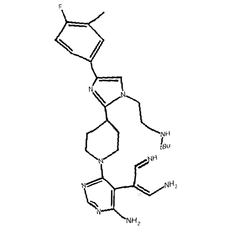 Cc1cc(-c2cn(CCNC(C)(C)C)c(C3CCN(c4ncnc(N)c4/C(C=N)=C/N)CC3)n2)ccc1F